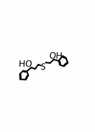 OC(CCSCCC(O)c1ccccc1)c1ccccc1